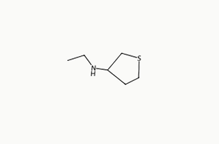 CCNC1CCSC1